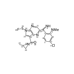 CNc1cc(Cl)ccc1C(=N)c1cnc2c(n1)c(C(=O)N1CC1C)cn2SF